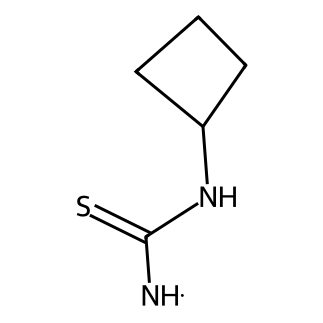 [NH]C(=S)NC1CCC1